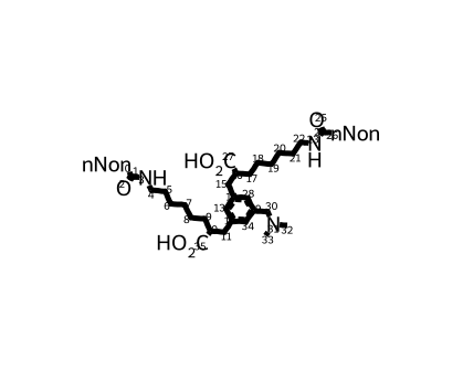 CCCCCCCCCC(=O)NCCCCCCC(Cc1cc(CC(CCCCCCNC(=O)CCCCCCCCC)C(=O)O)cc(CN(C)C)c1)C(=O)O